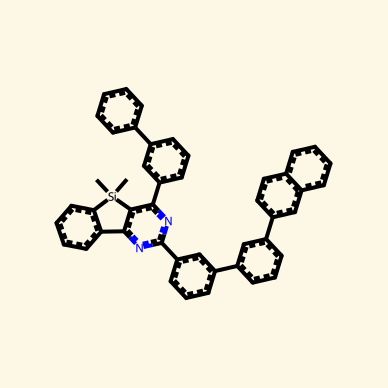 C[Si]1(C)c2ccccc2-c2nc(-c3cccc(-c4cccc(-c5ccc6ccccc6c5)c4)c3)nc(-c3cccc(-c4ccccc4)c3)c21